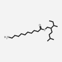 CCC(C)C(CCC(C)C)CSC(=O)CCCCCCCCCN